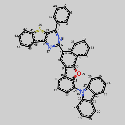 c1ccc(-c2nc(-c3cc4c5cccc(-n6c7ccccc7c7ccccc76)c5oc4c4ccccc34)nc3c2sc2ccccc23)cc1